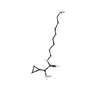 CCCCCCCCCCCCCCCCCCOC(=O)C(CCCCCC)C1CC1